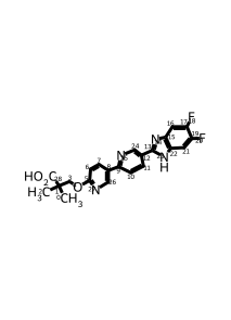 CC(C)(COc1ccc(-c2ccc(-c3nc4cc(F)c(F)cc4[nH]3)cn2)cn1)C(=O)O